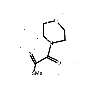 CSC(=S)C(=O)N1CCOCC1